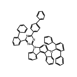 c1ccc(-c2ccc(-c3nc(-c4ccccc4-c4ccccc4)nc(-n4c5ccccc5c5c6c7ccccc7n(-c7c(-c8ccccc8)cccc7-c7ccccc7)c6ccc54)n3)cc2)cc1